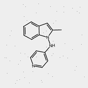 Cc1cc2ccccc2n1Nc1ccncc1